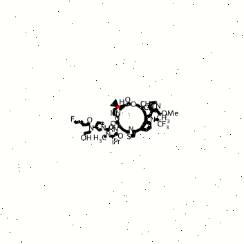 CO[C@@H](C)c1ncccc1-c1c2c3cc(ccc3n1CC(F)(F)F)-c1csc(n1)C[C@H](NC(=O)[C@H](C(C)C)N(C)C(=O)N1CC[C@H](N(CCO)C(=O)/C=C/CF)C1)C(=O)N1CCC[C@@H](C(=O)OCC(C)(C)C2)C(C2CC2)N1